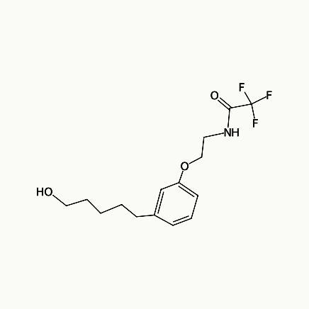 O=C(NCCOc1cccc(CCCCCO)c1)C(F)(F)F